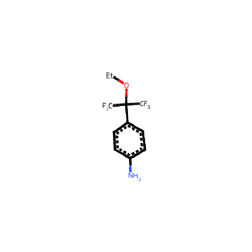 CCOC(c1ccc(N)cc1)(C(F)(F)F)C(F)(F)F